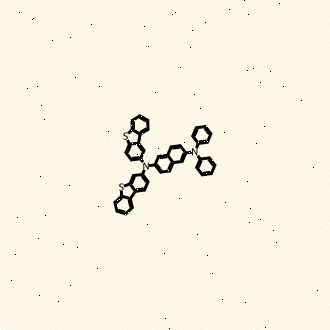 c1ccc(N(c2ccccc2)c2ccc3cc(N(c4ccc5c(c4)sc4ccccc45)c4ccc5sc6ccccc6c5c4)ccc3c2)cc1